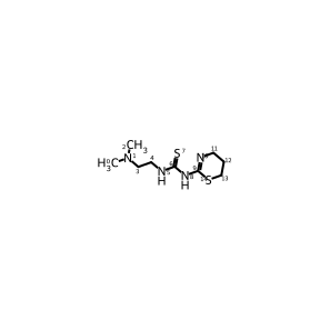 CN(C)CCNC(=S)NC1=NCCCS1